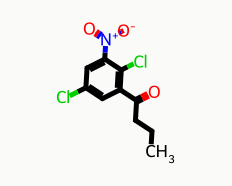 CCCC(=O)c1cc(Cl)cc([N+](=O)[O-])c1Cl